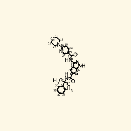 CC(C)(NC(=O)c1cc2c(NC(=O)c3ccc(N4CCOCC4)nc3)n[nH]c2s1)c1ccccc1